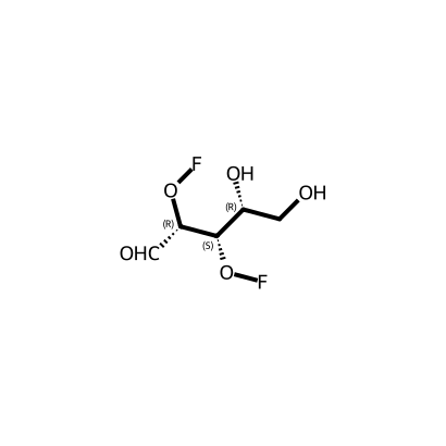 O=C[C@H](OF)[C@@H](OF)[C@H](O)CO